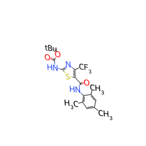 Cc1cc(C)c(NC(=O)c2sc(NC(=O)OC(C)(C)C)nc2C(F)(F)F)c(C)c1